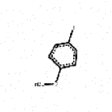 [CH2]CCCOc1ccc(I)cc1